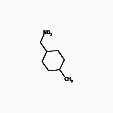 CC1CCC(C[N+](=O)[O-])CC1